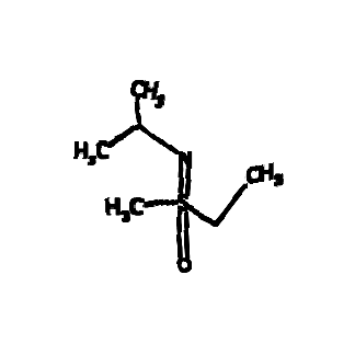 CCS(C)(=O)=NC(C)C